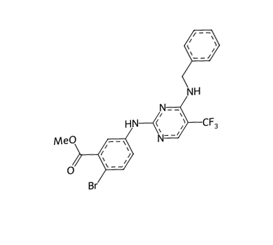 COC(=O)c1cc(Nc2ncc(C(F)(F)F)c(NCc3ccccc3)n2)ccc1Br